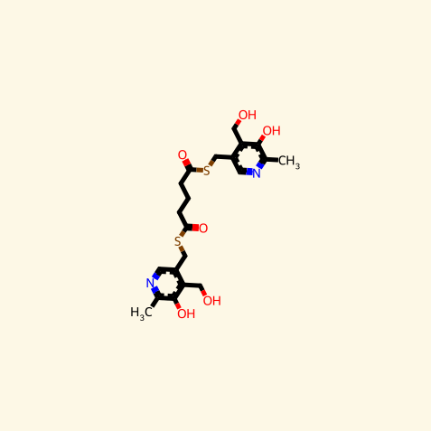 Cc1ncc(CSC(=O)CCCC(=O)SCc2cnc(C)c(O)c2CO)c(CO)c1O